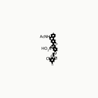 CC(=O)NC(C)c1ccccc1-c1ccc(C(CNC(=O)O)Cc2ccc(OCCOc3c(Cl)cc(C)cc3Cl)cc2)c(C)c1